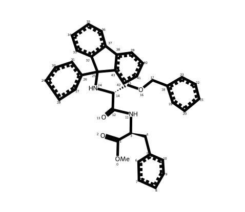 COC(=O)[C@H](Cc1ccccc1)NC(=O)[C@@H](COCc1ccccc1)NC1(c2ccccc2)c2ccccc2-c2ccccc21